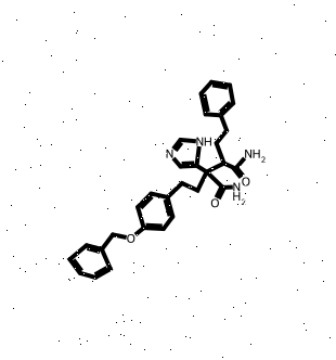 NC(=O)C(CCc1ccccc1)C(CCc1ccc(OCc2ccccc2)cc1)(C(N)=O)c1cnc[nH]1